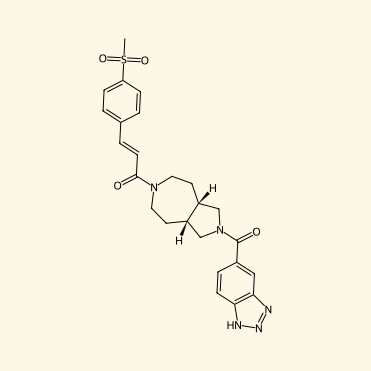 CS(=O)(=O)c1ccc(C=CC(=O)N2CC[C@@H]3CN(C(=O)c4ccc5[nH]nnc5c4)C[C@@H]3CC2)cc1